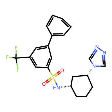 O=S(=O)(N[C@H]1CCC[C@@H](n2cnnc2)C1)c1cc(-c2ccccc2)cc(C(F)(F)F)c1